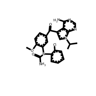 COc1ccc(C(=O)c2cn(C(C)C)c3ncnc(N)c23)cc1N(C(N)=O)c1ccccc1Cl